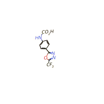 O=C(O)Nc1ccc(-c2nnc(C(F)(F)F)o2)cc1